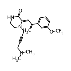 C=C(/C=C1/C(=O)NCCN1CC#CCN(C)C)c1cccc(OC(F)(F)F)c1